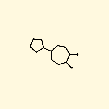 FC1CCC(C2CCCC2)CCC1F